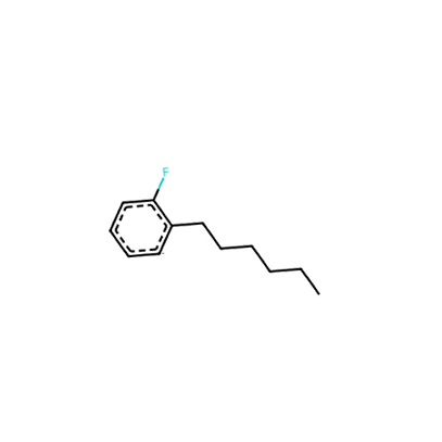 CCCCCCc1[c]cccc1F